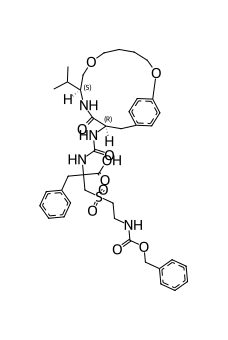 CC(C)[C@H]1COCCCCOc2ccc(cc2)C[C@@H](NC(=O)NC(Cc2ccccc2)(CS(=O)(=O)CCNC(=O)OCc2ccccc2)C(=O)O)C(=O)N1